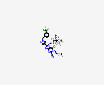 CCCn1c(C#N)nc2nc(-c3cnn(Cc4cccc(C(F)(F)F)c4)c3)n(COC(=O)C(C)(C)C)c2c1=O